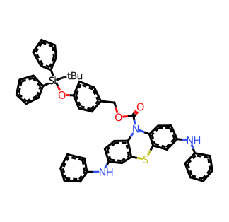 CC(C)(C)[Si](Oc1ccc(COC(=O)N2c3ccc(Nc4ccccc4)cc3Sc3cc(Nc4ccccc4)ccc32)cc1)(c1ccccc1)c1ccccc1